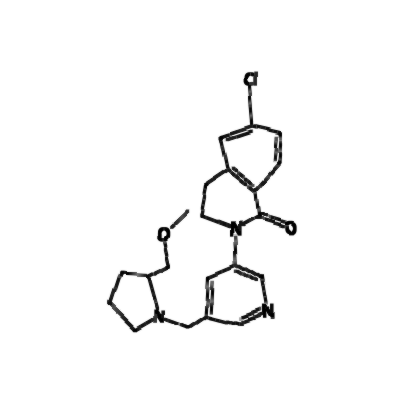 COCC1CCCN1Cc1cncc(N2CCc3cc(Cl)ccc3C2=O)c1